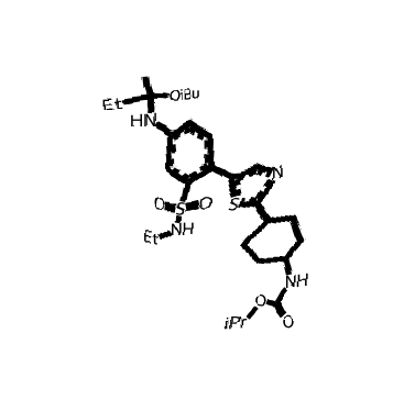 CCNS(=O)(=O)c1cc(NC(C)(CC)OCC(C)C)ccc1-c1cnc(C2CCC(NC(=O)OC(C)C)CC2)s1